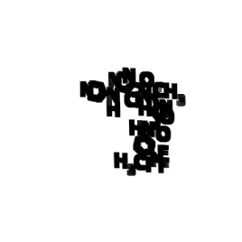 Cc1ccc(NC(=O)c2cc([C@@H](C)NC(=O)c3ncnc(Nc4ccncc4)c3Cl)no2)cc1C(F)(F)F